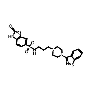 O=c1[nH]c2ccc(S(=O)(=O)NCCCN3CCN(c4nsc5ccccc45)CC3)cc2o1